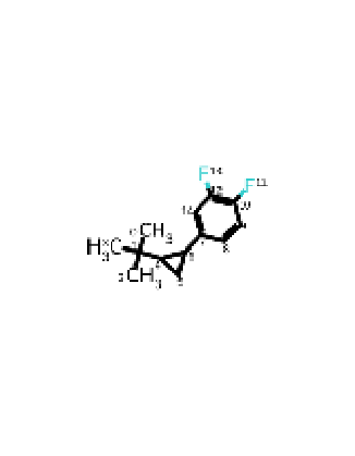 CC(C)(C)C1CC1c1ccc(F)c(F)c1